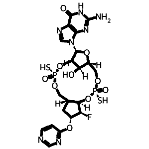 Nc1nc2c(ncn2[C@@H]2O[C@@H]3CO[P@@](=O)(S)O[C@@H]4[C@@H](CO[P@](=O)(S)O[C@@H]2[C@@H]3O)C[C@@H](Oc2ccncn2)[C@@H]4F)c(=O)[nH]1